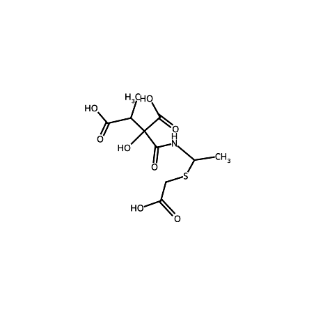 CC(NC(=O)C(O)(C(=O)O)C(C)C(=O)O)SCC(=O)O